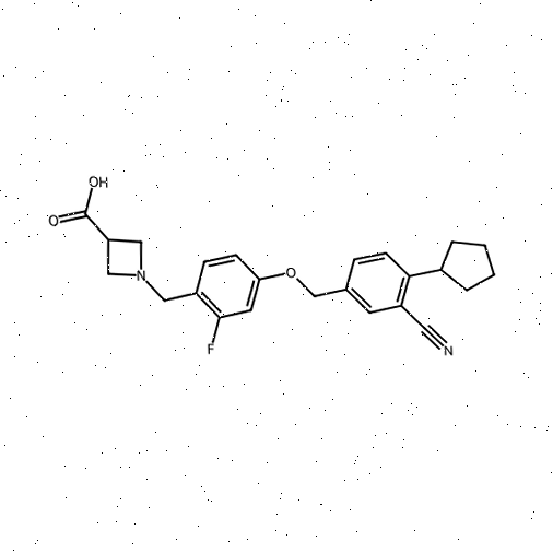 N#Cc1cc(COc2ccc(CN3CC(C(=O)O)C3)c(F)c2)ccc1C1CCCC1